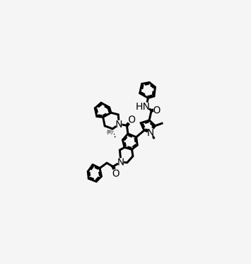 Cc1c(C(=O)Nc2ccccc2)cc(-c2cc3c(cc2C(=O)N2Cc4ccccc4C[C@H]2C)CN(C(=O)Cc2ccccc2)CC3)n1C